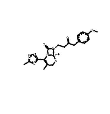 COc1ccc(CC(=O)CC[C@@H]2C(=O)N3C(c4nc(C)no4)=C(C)CS[C@H]23)cc1